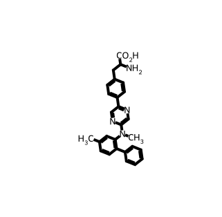 Cc1ccc(-c2ccccc2)c(N(C)c2cnc(-c3ccc(CC(N)C(=O)O)cc3)cn2)c1